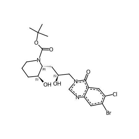 CC(C)(C)OC(=O)N1CCC[C@H](O)[C@H]1C[C@H](O)Cn1cnc2cc(Br)c(Cl)cc2c1=O